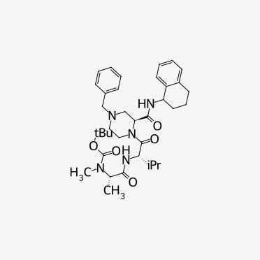 CC(C)[C@H](NC(=O)[C@H](C)N(C)C(=O)OC(C)(C)C)C(=O)N1CCN(Cc2ccccc2)C[C@H]1C(=O)NC1CCCc2ccccc21